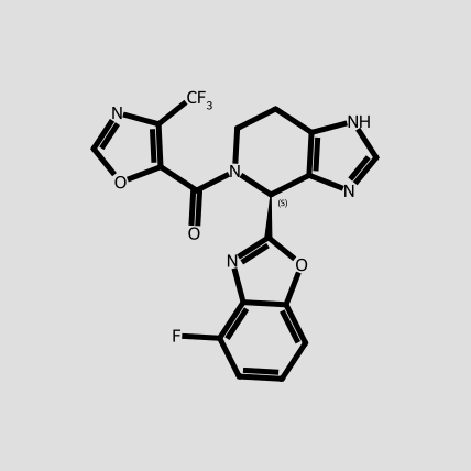 O=C(c1ocnc1C(F)(F)F)N1CCc2[nH]cnc2[C@H]1c1nc2c(F)cccc2o1